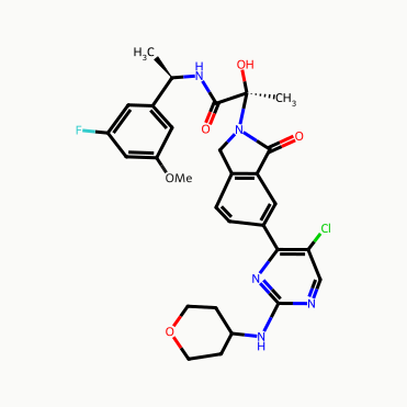 COc1cc(F)cc([C@@H](C)NC(=O)[C@@](C)(O)N2Cc3ccc(-c4nc(NC5CCOCC5)ncc4Cl)cc3C2=O)c1